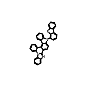 c1ccc2c(c1)nc1c3ccc4c(c5ccccc5n4-c4cccc5c4sc4ccccc45)c3c3ccccc3n21